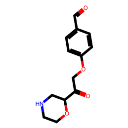 O=Cc1ccc(OCC(=O)C2CNCCO2)cc1